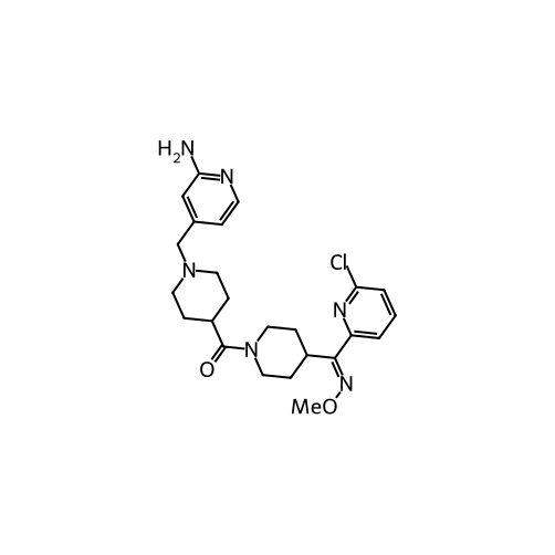 CON=C(c1cccc(Cl)n1)C1CCN(C(=O)C2CCN(Cc3ccnc(N)c3)CC2)CC1